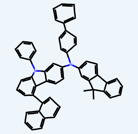 CC1(C)c2ccccc2-c2ccc(N(c3ccc(-c4ccccc4)cc3)c3ccc4c5c(-c6cccc7ccccc67)cccc5n(-c5ccccc5)c4c3)cc21